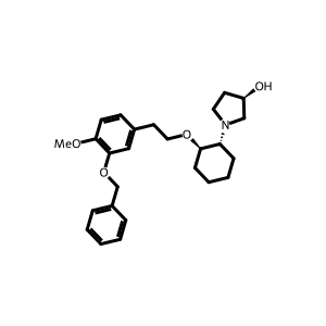 COc1ccc(CCO[C@@H]2CCCC[C@H]2N2CC[C@@H](O)C2)cc1OCc1ccccc1